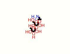 CC1O[C@@H](OC2C(O)[C@H](OC(C)(C)CN)OC(CO)[C@@H]2O)C(O)C(O)[C@H]1O